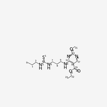 CCCNC(=S)NCCCNc1nc(OC)ncc1C(=O)OCC